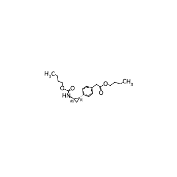 CCCCOC(=O)Cc1ccc([C@@H]2C[C@H]2NC(=O)OCCCC)cc1